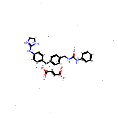 O=C(NCc1ccc(Cc2ccc(NC3=NCCN3)cc2)cc1)Nc1ccccc1.O=C(O)/C=C/C(=O)O